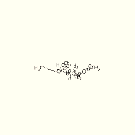 C=CC(=O)OCC1CCC(COC(=O)N2CC3(C)CC(NC(=O)OC(COC(=O)C(=C)C)COc4ccc(CCCCCCCCC)cc4)CC2(C)C3)CC1